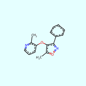 Cc1ncccc1Oc1c(-c2ccccc2)noc1C